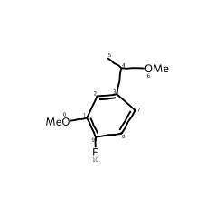 COc1cc(C(C)OC)ccc1F